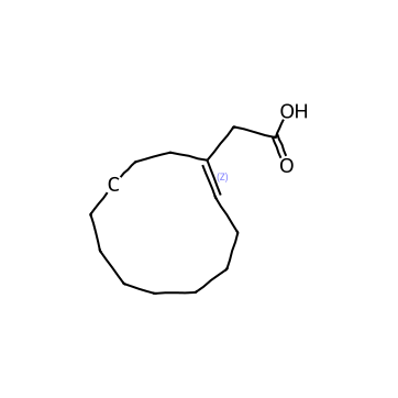 O=C(O)C/C1=C\CCCCCCCCCC1